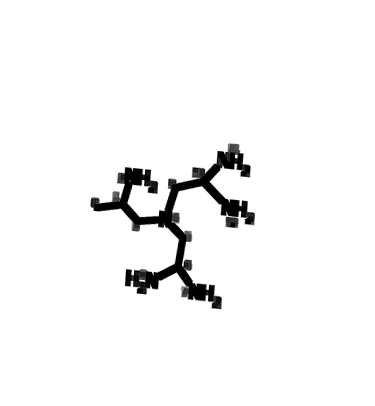 CC(N)CN(CC(N)N)CC(N)N